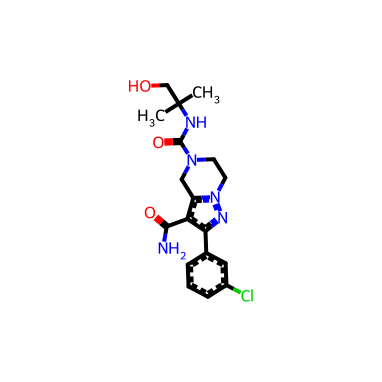 CC(C)(CO)NC(=O)N1CCn2nc(-c3cccc(Cl)c3)c(C(N)=O)c2C1